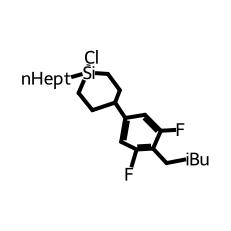 CCCCCCC[Si]1(Cl)CCC(c2cc(F)c(CC(C)CC)c(F)c2)CC1